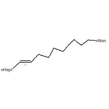 [CH2]CCCCCCCCCCCCCCC/C=C/CCCCCCC